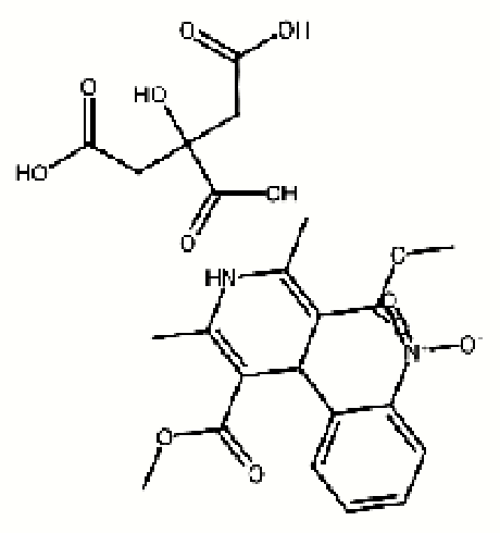 COC(=O)C1=C(C)NC(C)=C(C(=O)OC)C1c1ccccc1[N+](=O)[O-].O=C(O)CC(O)(CC(=O)O)C(=O)O